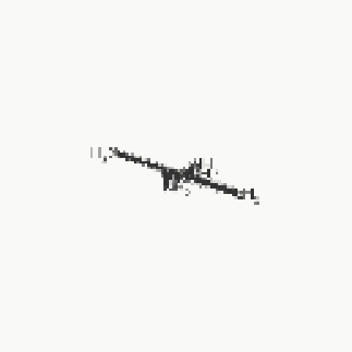 CCCCCCCCCCCCCCN(CCCCN(CCCCCCCCCCCCCC)CC(O)CN)CC(O)CN